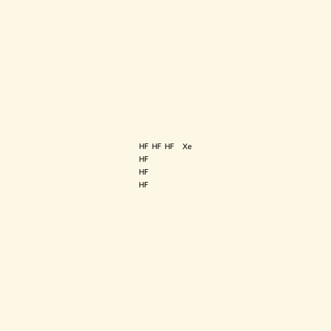 F.F.F.F.F.F.[Xe]